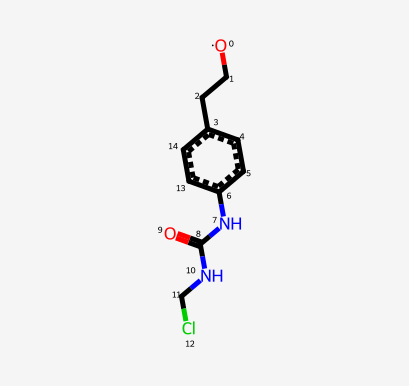 [O]CCc1ccc(NC(=O)NCCl)cc1